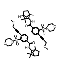 COCC#Cc1ccc(C(=O)NC2C(C)(C)[C@@H]3CC[C@@]2(C)C3)cc1S(=O)(=O)N1CCOCC1.COCC#Cc1ccc(C(=O)NC2C3(C)CCC(C3)C2(C)C)cc1S(=O)(=O)N1CCOCC1